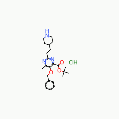 Cc1nc(CCC2CCNCC2)nc(C(=O)OC(C)(C)C)c1OCc1ccccc1.Cl